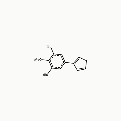 COc1c(C(C)(C)C)cc(C2=[C]CC=C2)cc1C(C)(C)C